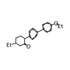 CCOc1ccc(-c2ccc(C3CCC(CC)CC3=O)cc2)cc1